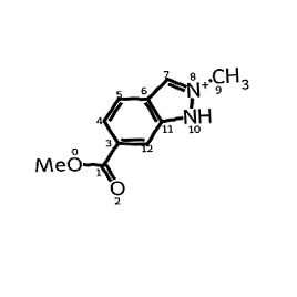 COC(=O)c1ccc2c[n+](C)[nH]c2c1